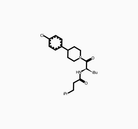 CC[C@H](C)[C@@H](NC(=O)CCC(C)C)C(=O)N1CCC(c2ccc(Cl)cc2)CC1